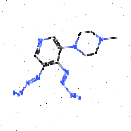 CN1CCN(c2cncc(N=NN)c2N=NN)CC1